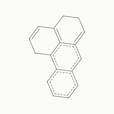 C1=CC2=c3c(c4ccccc4cc3=CCC2)C1